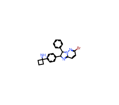 NC1(c2ccc(C3N=C4C=CC(Br)=NN4C3c3ccccc3)cc2)CCC1